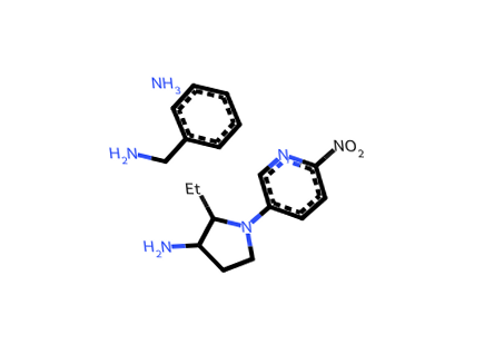 CCC1C(N)CCN1c1ccc([N+](=O)[O-])nc1.N.NCc1ccccc1